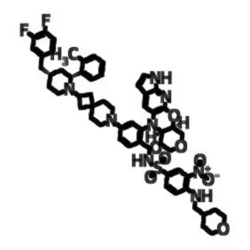 Cc1ccccc1[C@@H]1C[C@H](Cc2ccc(F)c(F)c2)CCN1C1CC2(CCN(c3ccc(C(=O)NS(=O)(=O)c4ccc(NCC5CCOCC5)c([N+](=O)[O-])c4)c(N4c5cc6cc[nH]c6nc5O[C@H]5COCC[C@@H]54)c3)CC2)C1